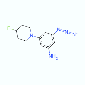 [N-]=[N+]=Nc1cc(N)cc(N2CCC(F)CC2)c1